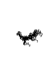 CCCc1nc(OCCC(F)(F)F)nc2oc(-c3cc(C)c(OCC(=O)OC(C)(C)C)c(C)c3)nc12